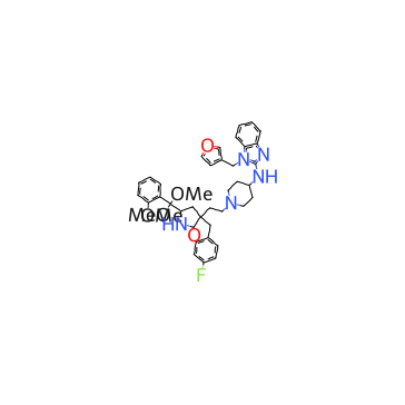 COc1ccccc1C(OC)(OC)C1CC(CCN2CCC(Nc3nc4ccccc4n3Cc3ccoc3)CC2)(Cc2ccc(F)cc2)C(=O)N1